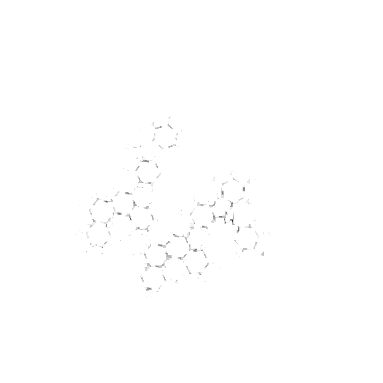 CC1(C)c2ccccc2-c2ccc(-c3cc4ccc5ccccc5c4c4cc(-c5cc6ccccc6c6c5cc(-c5ccc7c8ccccc8n(-c8ccccc8)c7c5)c5ccccc56)ccc34)cc21